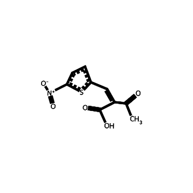 CC(=O)C(=Cc1ccc([N+](=O)[O-])s1)C(=O)O